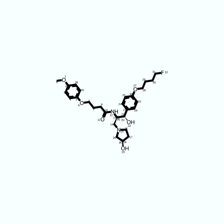 COc1ccc(OCCCC(=O)N[C@H](CN2CC[C@@H](O)C2)[C@@H](O)c2ccc(OCCCCF)cc2)cc1